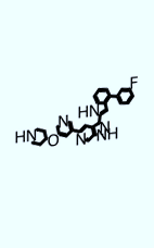 Fc1cccc(-c2cccc3[nH]c(-c4n[nH]c5cnc(-c6cncc(OC7CCNCC7)c6)cc45)cc23)c1